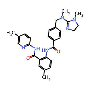 Cc1ccc(NC(=O)c2cc(C)ccc2NC(=O)c2ccc(CN(C)C3=NCCN3C)cc2)nc1